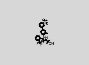 Cc1cc(-c2cccc(S(C)(=O)=O)c2)ccc1-n1nc(C(C)(C)O)c(Cl)c1-c1ccccc1C(F)(F)F